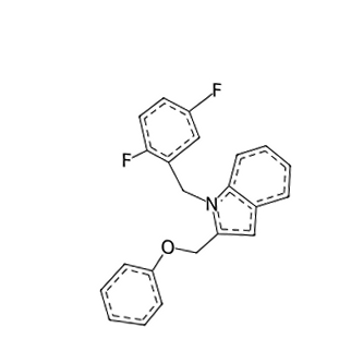 Fc1ccc(F)c(Cn2c(COc3ccccc3)cc3ccccc32)c1